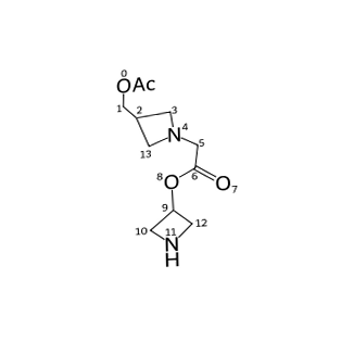 CC(=O)OCC1CN(CC(=O)OC2CNC2)C1